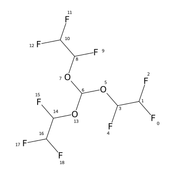 FC(F)C(F)OC(OC(F)C(F)F)OC(F)C(F)F